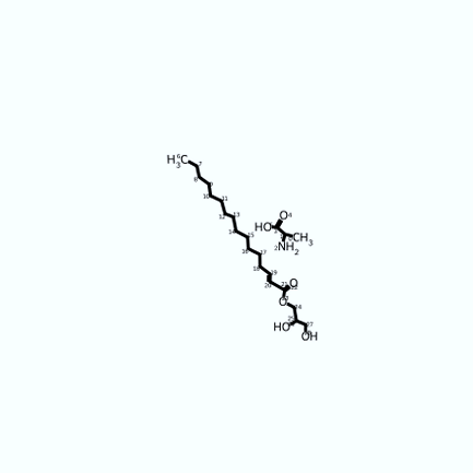 CC(N)C(=O)O.CCCCCCCCCCCCC/C=C/C(=O)OCC(O)CO